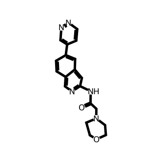 O=C(CN1CCOCC1)Nc1cc2cc(-c3ccnnc3)ccc2cn1